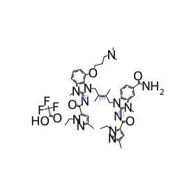 CCn1nc(C)cc1C(=O)/N=c1\n(C)c2cc(C(N)=O)ccc2n1C/C(C)=C(\C)Cn1/c(=N/C(=O)c2cc(C)nn2CC)n(C)c2cccc(OCCCN(C)C)c21.O=C(O)C(F)(F)F